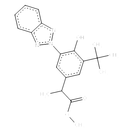 COC(=O)C(C)c1cc(-n2nc3ccccc3n2)c(O)c(C(C)(C)C)c1